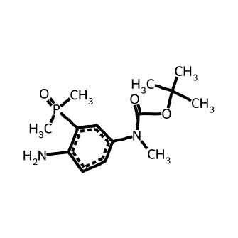 CN(C(=O)OC(C)(C)C)c1ccc(N)c(P(C)(C)=O)c1